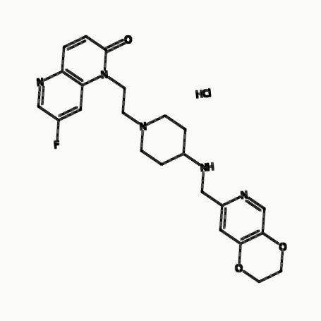 Cl.O=c1ccc2ncc(F)cc2n1CCN1CCC(NCc2cc3c(cn2)OCCO3)CC1